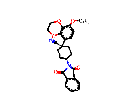 COc1ccc([C@]2(C#N)CC[C@@H](N3C(=O)c4ccccc4C3=O)CC2)c2c1OCCO2